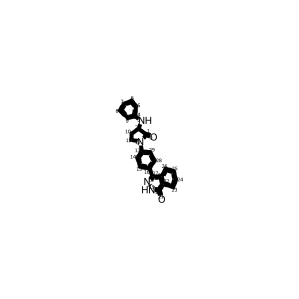 O=C1C(Nc2ccccc2)CCN1c1ccc(-c2n[nH]c(=O)c3ccccc23)cc1